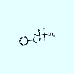 CC(F)(F)C(F)(F)OC(=O)c1ccccc1